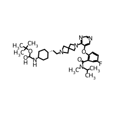 CC(C)N(C)C(=O)c1cc(F)ccc1Oc1cncnc1N1CC2(CN(CC[C@H]3CC[C@H](NC(O)OC(C)(C)C)CC3)C2)C1